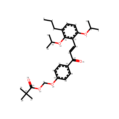 CCCc1ccc(OC(C)C)c(C=CC(=O)c2ccc(OCOC(=O)C(C)(C)C)cc2)c1OC(C)C